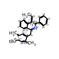 C=C/C=C(C/C(=N/C(C)c1ccccc1)c1ccccc1/C=C\C)\C(C)=C/CC(C)(C)C